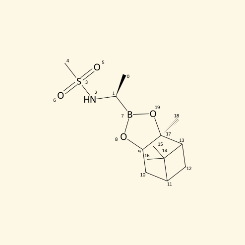 C[C@H](NS(C)(=O)=O)B1OC2CC3CC(C3(C)C)[C@]2(C)O1